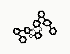 c1ccc(-c2ccc(-c3ccccc3-c3ccc4c(c3)Oc3cccc5c3N4c3ccc(-c4ccccc4-c4ccccc4)cc3O5)cc2)cc1